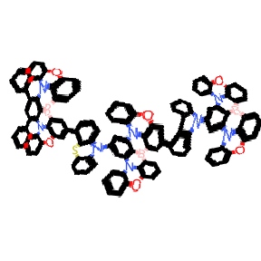 c1ccc(-c2cc(-c3ccccc3)c3c4c2N2c5ccccc5Oc5cccc(c52)B4c2cc(-c4cccc5c4Sc4ccccc4N5c4cc5c6c(c4)N4c7ccccc7Oc7cc(-c8cccc9c8c8ccccc8n9-c8cc9c%10c(c8)N8c%11ccccc%11Oc%11cccc(c%118)B%10c8cccc%10c8N9c8ccccc8O%10)cc(c74)B6c4cccc6c4N5c4ccccc4O6)cc4c2N3c2ccccc2O4)cc1